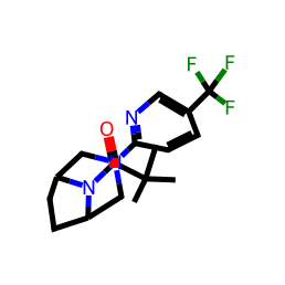 CC(C)(C)C(=O)N1C2CCC1CN(c1ccc(C(F)(F)F)cn1)C2